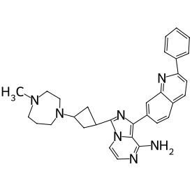 CN1CCCN(C2CC(c3nc(-c4ccc5ccc(-c6ccccc6)nc5c4)c4c(N)nccn34)C2)CC1